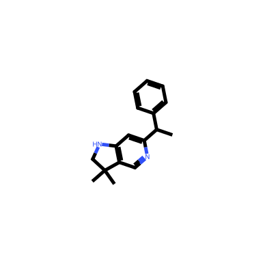 CC(c1ccccc1)c1cc2c(cn1)C(C)(C)CN2